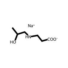 CC(O)CNCCC(=O)[O-].[Na+]